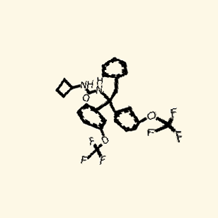 O=C(NC1CCC1)NC(Cc1ccccc1)(c1cccc(OC(F)(F)F)c1)c1cccc(OC(F)(F)F)c1